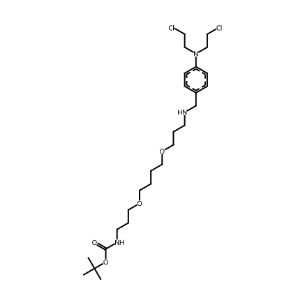 CC(C)(C)OC(=O)NCCCOCCCCOCCCNCc1ccc(N(CCCl)CCCl)cc1